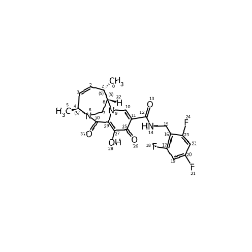 C[C@H]1C=C[C@H](C)N2C[C@H]1n1cc(C(=O)NCc3c(F)cc(F)cc3F)c(=O)c(O)c1C2=O